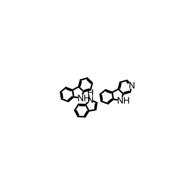 c1ccc2[nH]ccc2c1.c1ccc2c(c1)[nH]c1ccccc12.c1ccc2c(c1)[nH]c1cnccc12